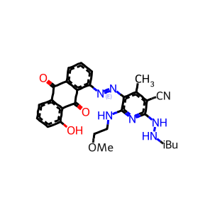 CCC(C)NNc1nc(NCCOC)c(/N=N/c2cccc3c2C(=O)c2c(O)cccc2C3=O)c(C)c1C#N